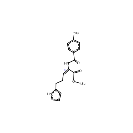 CC(C)(C)OC(=O)/C(=C\CCc1ccc[nH]1)NC(=O)c1ccc(C(C)(C)C)cc1